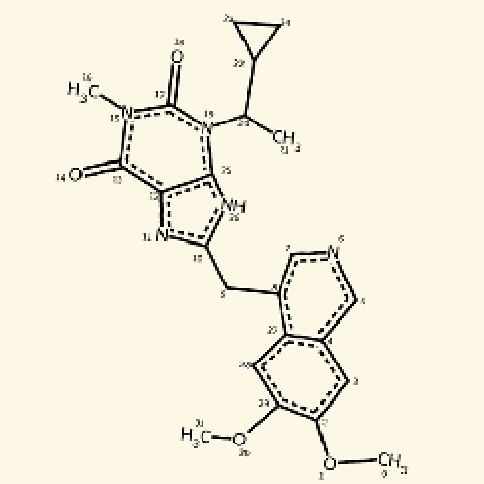 COc1cc2cncc(Cc3nc4c(=O)n(C)c(=O)n(C(C)C5CC5)c4[nH]3)c2cc1OC